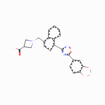 Cl.O=C(O)C1CN(Cc2ccc(-c3noc(-c4ccc5c(c4)ONO5)n3)c3ccccc23)C1